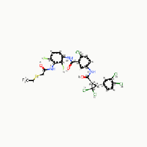 O=C(CSCC(F)(F)F)Nc1c(F)ccc(NC(=O)c2cc(NC(=O)[C@H]3[C@H](c4ccc(Cl)c(Cl)c4)C3(Cl)Cl)ccc2Cl)c1F